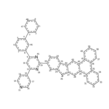 c1ccc(-c2cccc(-c3cc(-c4ccncc4)nc(-c4ccc5c(c4)sc4cc6c7ccccc7c7ccccc7c6cc45)n3)c2)cc1